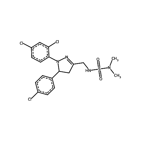 CN(C)S(=O)(=O)NCC1=NN(c2ccc(Cl)cc2Cl)C(c2ccc(Cl)cc2)C1